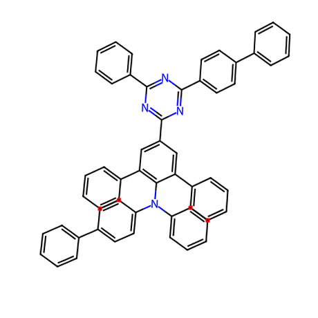 c1ccc(-c2ccc(-c3nc(-c4ccccc4)nc(-c4cc(-c5ccccc5)c(N(c5ccccc5)c5ccc(-c6ccccc6)cc5)c(-c5ccccc5)c4)n3)cc2)cc1